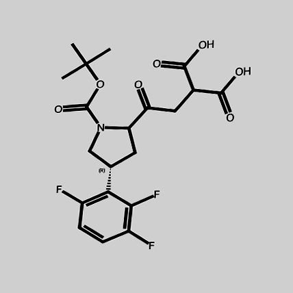 CC(C)(C)OC(=O)N1C[C@@H](c2c(F)ccc(F)c2F)CC1C(=O)CC(C(=O)O)C(=O)O